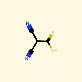 N#CC(C#N)C(=S)S